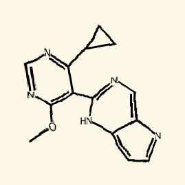 COc1ncnc(C2CC2)c1-c1ncc2nccc-2[nH]1